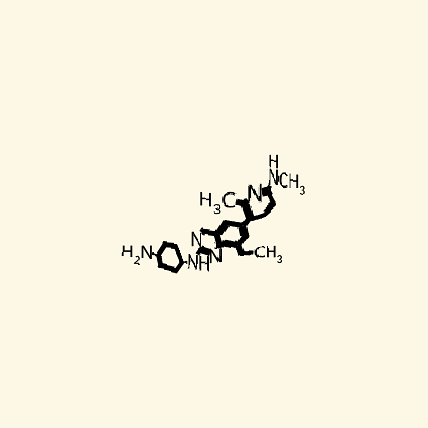 CCc1cc(-c2ccc(NC)nc2C)cc2cnc(N[C@H]3CC[C@H](N)CC3)nc12